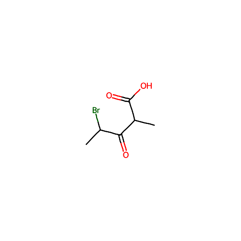 CC(Br)C(=O)C(C)C(=O)O